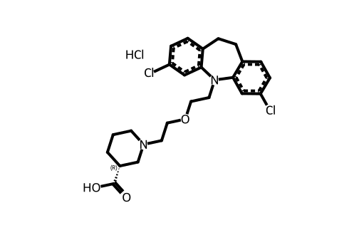 Cl.O=C(O)[C@@H]1CCCN(CCOCCN2c3cc(Cl)ccc3CCc3ccc(Cl)cc32)C1